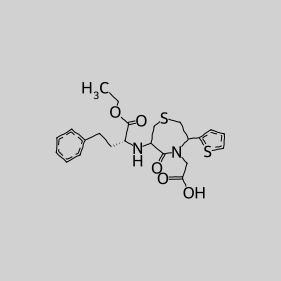 CCOC(=O)[C@@H](CCc1ccccc1)NC1CSCC(c2cccs2)N(CC(=O)O)C1=O